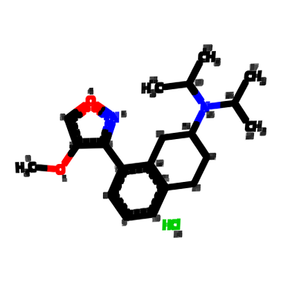 COc1conc1-c1cccc2c1CC(N(C(C)C)C(C)C)CC2.Cl